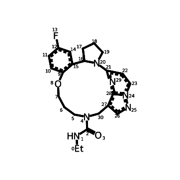 CCNC(=O)N1CCCOc2ccc(F)cc2C2CCCN2c2ccn3ncc(c3n2)C1